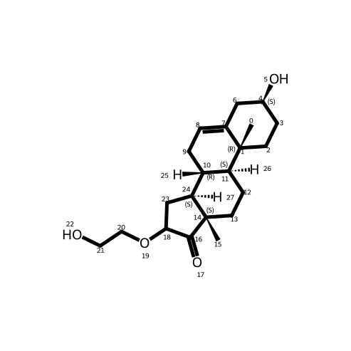 C[C@]12CC[C@H](O)CC1=CC[C@@H]1[C@@H]2CC[C@]2(C)C(=O)C(OCCO)C[C@@H]12